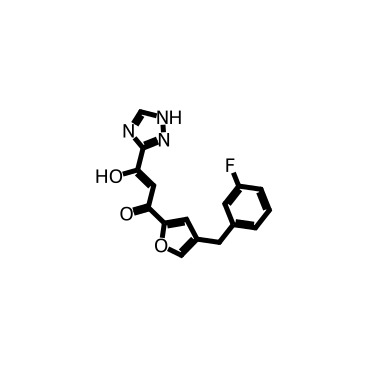 O=C(C=C(O)c1nc[nH]n1)c1cc(Cc2cccc(F)c2)co1